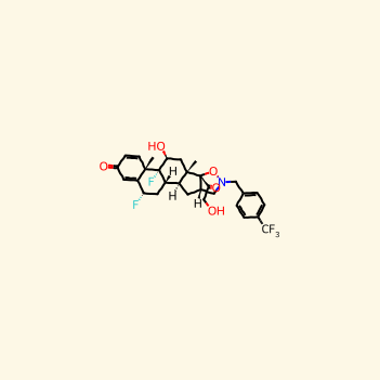 C[C@]12C=CC(=O)C=C1[C@@H](F)C[C@H]1[C@@H]3C[C@H]4CN(Cc5ccc(C(F)(F)F)cc5)O[C@@]4(C(=O)CO)[C@@]3(C)C[C@H](O)[C@@]12F